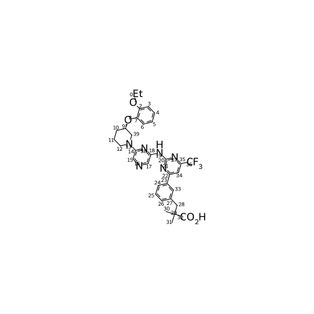 CCOc1ccccc1O[C@@H]1CCCN(c2cncc(Nc3nc(-c4cccc(CC(C)(C)C(=O)O)c4)cc(C(F)(F)F)n3)n2)C1